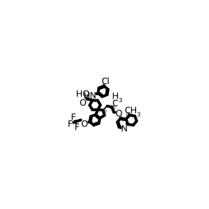 C[C@@H](COc1ccnc2c1[C@H](C)CCC2)C[C@H]1Cc2ccc(OCC(F)(F)F)cc2C12CCC(Nc1cccc(Cl)c1)(C(=O)O)CC2